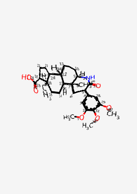 COc1cc(C2C[C@@]3(C)[C@@H](CC[C@@H]4[C@@H]3CC[C@]3(C)[C@@H](C(=O)O)CC[C@@H]43)NC2=O)cc(OC)c1OC